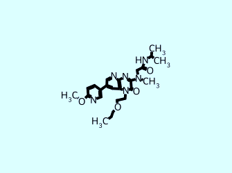 CCCOCCn1c(=O)c(N(C)CC(=O)NC(C)C)nc2ncc(-c3ccc(OC)nc3)cc21